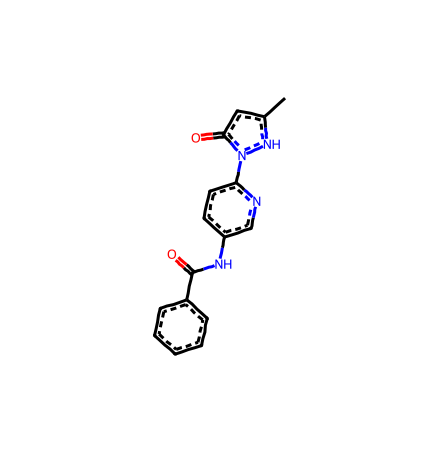 Cc1cc(=O)n(-c2ccc(NC(=O)c3ccccc3)cn2)[nH]1